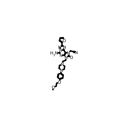 COCCOc1ccc(N2CCN(CCn3c(=O)n(CC#N)c4c3nc(N)n3nc(-c5ccco5)nc43)CC2)cc1